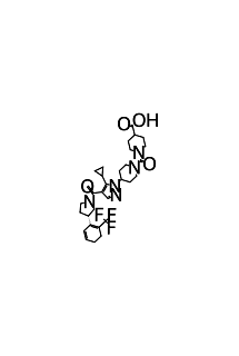 O=C(O)C1CCN(C(=O)N2CCC(n3ncc(C(=O)N4CC[C@@H](C5=C(C(F)(F)F)CCC=C5)C4)c3C3CC3)CC2)CC1